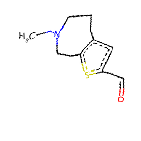 CN1CCc2cc(C=O)sc2C1